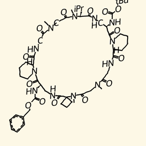 CC(C)[C@H]1C(=O)NC[C@@H](NC(=O)OC(C)(C)C)C(=O)N2CCCC[C@H]2C(=O)NCC(=O)N(C)CC(=O)N(C)C2(CCC2)C(=O)NC[C@@H](NC(=O)OCc2ccccc2)C(=O)N2CCCC[C@H]2C(=O)NCC(=O)N(C)CC(=O)N1C